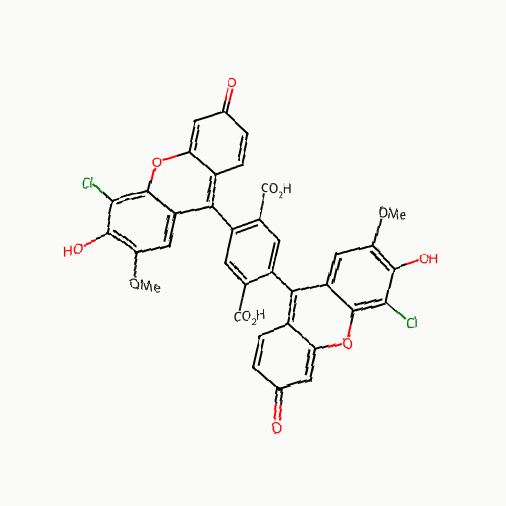 COc1cc2c(-c3cc(C(=O)O)c(-c4c5ccc(=O)cc-5oc5c(Cl)c(O)c(OC)cc45)cc3C(=O)O)c3ccc(=O)cc-3oc2c(Cl)c1O